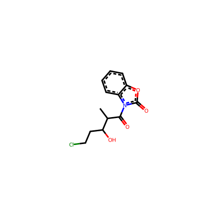 CC(C(=O)n1c(=O)oc2ccccc21)C(O)CCCl